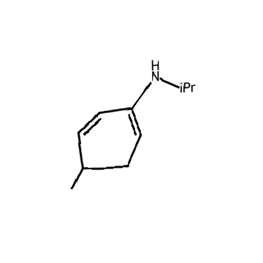 CC1C=CC(NC(C)C)=CC1